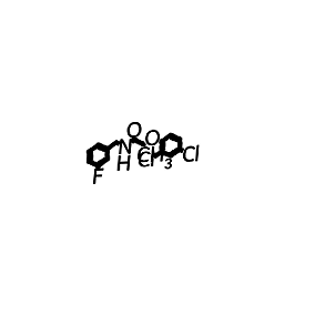 CC(Oc1ccc(Cl)cc1Cl)C(=O)NCc1cccc(F)c1